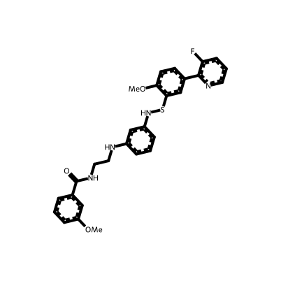 COc1cccc(C(=O)NCCNc2cccc(NSc3cc(-c4ncccc4F)ccc3OC)c2)c1